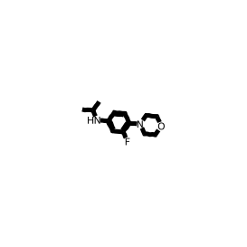 CC(C)Nc1ccc(N2CCOCC2)c(F)c1